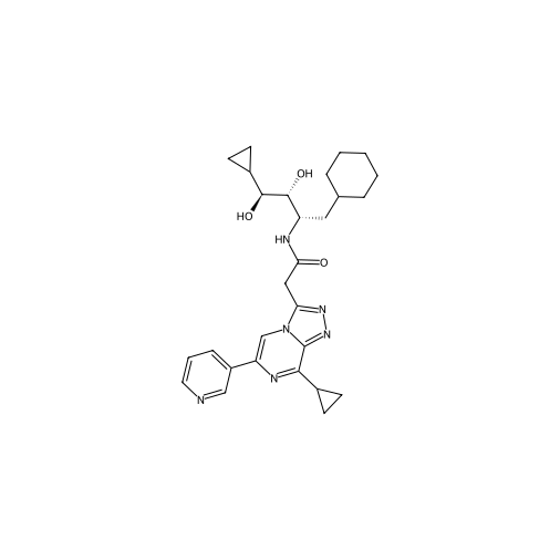 O=C(Cc1nnc2c(C3CC3)nc(-c3cccnc3)cn12)N[C@@H](CC1CCCCC1)[C@@H](O)[C@@H](O)C1CC1